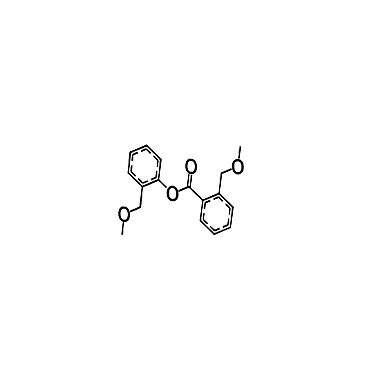 COCc1ccccc1OC(=O)c1ccccc1COC